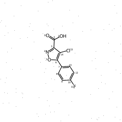 O=C(O)c1noc(-c2ccc(F)cc2)c1Cl